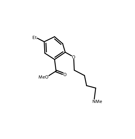 CCc1ccc(OCCCCNC)c(C(=O)OC)c1